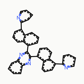 c1ccc(-c2cccc3c(-c4nc5ccccc5nc4-c4cccc5c(-c6ccccn6)cccc45)cccc23)nc1